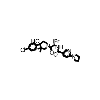 CC(C)[C@@H](NC(=O)c1ccc(N2CCCC2)nc1)C(=O)N1CC[C@](O)(c2ccc(Cl)cc2)C(C)(C)C1